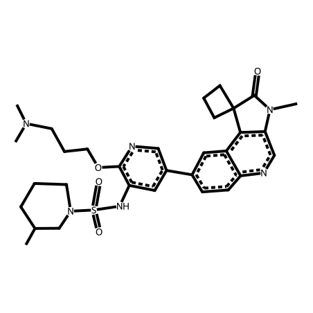 CC1CCCN(S(=O)(=O)Nc2cc(-c3ccc4ncc5c(c4c3)C3(CCC3)C(=O)N5C)cnc2OCCCN(C)C)C1